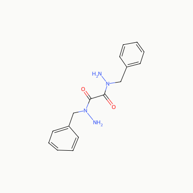 NN(Cc1ccccc1)C(=O)C(=O)N(N)Cc1ccccc1